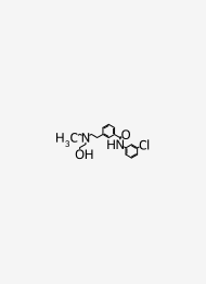 CCN(CCO)CCc1cccc(C(=O)Nc2cccc(Cl)c2)c1